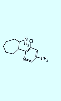 NC1CCCCCC1c1ncc(C(F)(F)F)cc1Cl